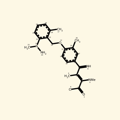 CN/C(C(=O)Cl)=C(/C)C(=N)c1ccc(OCc2c(C)cccc2N(C)N)c(C)c1